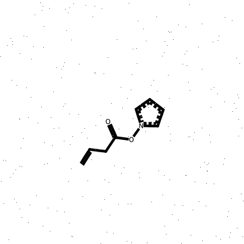 C=CCC(=O)On1cccc1